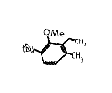 C=Cc1c(C)ccc(C(C)(C)C)c1OC